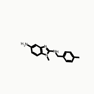 Cc1ccc(CNc2nc3cc(N)ccc3n2C)cc1